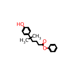 CC(C)(CCCC(=O)Oc1ccccc1)c1ccc(O)cc1